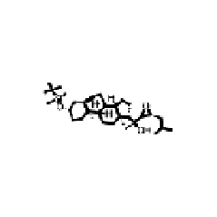 CC(C)C[C@@H]1OC1[C@](C)(O)[C@H]1CC[C@H]2[C@@H]3CC=C4C[C@@H](O[Si](C)(C)C(C)(C)C)CC[C@]4(C)[C@H]3CC[C@@]21C